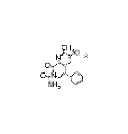 Cc1cc2c(-c3ccccc3)cn(C(N)=O)c(=O)c2nc1C